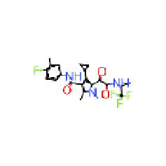 Cc1cc(NC(=O)c2c(C3CC3)c(C(=O)C(=O)NC(C)C(F)(F)F)n(C)c2C)ccc1F